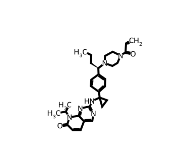 C=CC(=O)N1CCN([C@H](CCC)c2ccc(C3(Nc4ncc5ccc(=O)n(C(C)C)c5n4)CC3)cc2)CC1